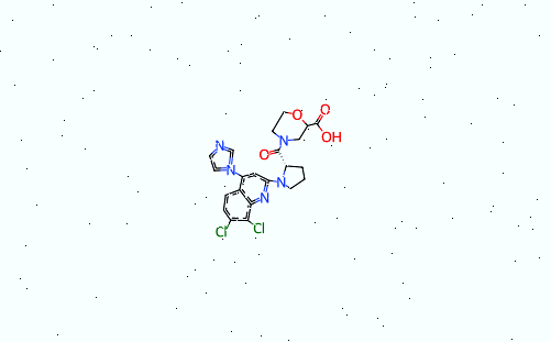 O=C(O)C1CN(C(=O)[C@@H]2CCCN2c2cc(-n3ccnc3)c3ccc(Cl)c(Cl)c3n2)CCO1